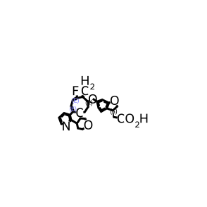 C=C1/C(F)=C\C=C(\c2cccnc2C2CCOCC2)CCC[C@H]1Oc1ccc2c(c1)OC[C@H]2CC(=O)O